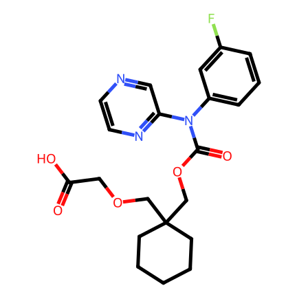 O=C(O)COCC1(COC(=O)N(c2cccc(F)c2)c2cnccn2)CCCCC1